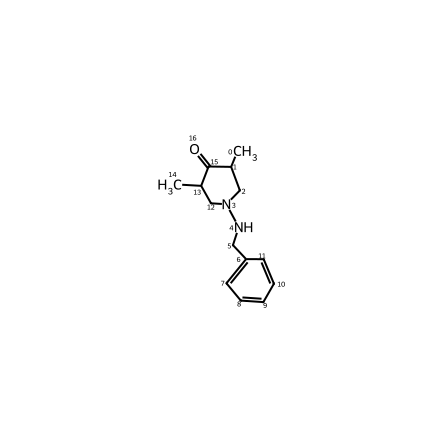 CC1CN(NCc2ccccc2)CC(C)C1=O